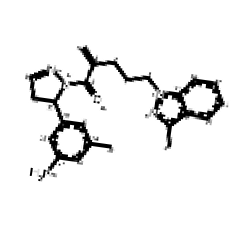 C=C(CCCn1nc(C)c2ccccc21)C(=O)N1N=CCC1c1cc(C)cc(P)c1